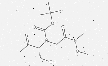 C=C(C)[C@@H](CO)N(CC(=O)N(C)OC)C(=O)OC(C)(C)C